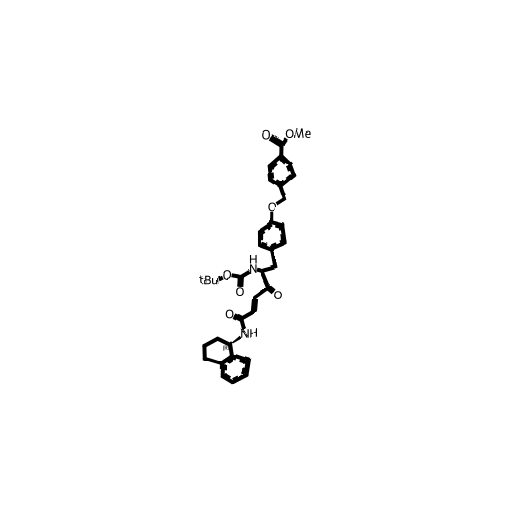 COC(=O)c1ccc(COc2ccc(CC(NC(=O)OC(C)(C)C)C(=O)C=CC(=O)N[C@@H]3CCCc4ccccc43)cc2)cc1